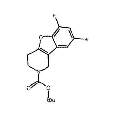 CC(C)(C)OC(=O)N1CCc2oc3c(F)cc(Br)cc3c2C1